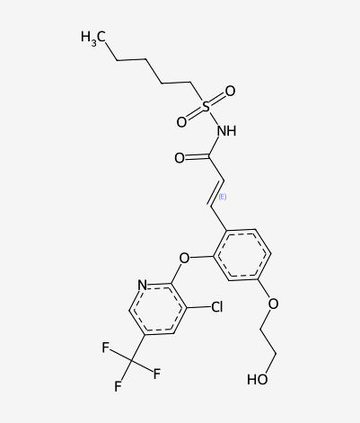 CCCCCS(=O)(=O)NC(=O)/C=C/c1ccc(OCCO)cc1Oc1ncc(C(F)(F)F)cc1Cl